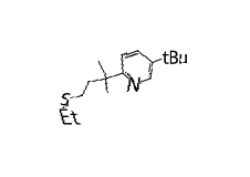 CCSCCC(C)(C)c1ccc(C(C)(C)C)cn1